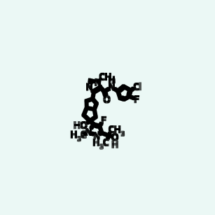 Cn1cnc(C2CC3CC(O)(c4c(F)c(C(C)(C)O)nn4C)CC3C2)c1C(=O)Nc1ccc(F)c(Cl)c1